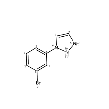 Brc1cccc(N2C=CNN2)c1